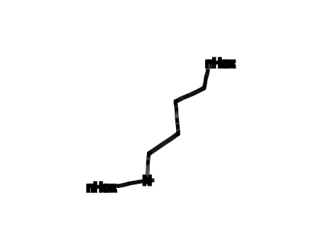 CCCCCCCCCC[N]CCCCCC